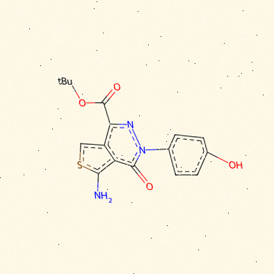 CC(C)(C)OC(=O)c1nn(-c2ccc(O)cc2)c(=O)c2c(N)scc12